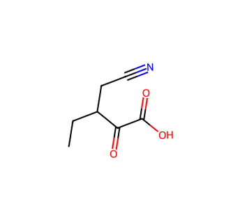 CCC(CC#N)C(=O)C(=O)O